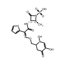 C[C@H]1[C@H](NC(=O)/C(=N\OCC2CC(=O)C(O)=CN2O)c2cccs2)C(=O)N1S(=O)(=O)O